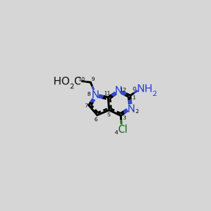 Nc1nc(Cl)c2ccn(CC(=O)O)c2n1